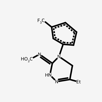 CCC1=NN/C(=N\C(=O)O)N(c2cccc(C(F)(F)F)c2)C1